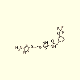 Nc1nnc(SCCSc2nnc(NC(=O)Cc3cccc(OC(F)(F)F)c3)s2)s1